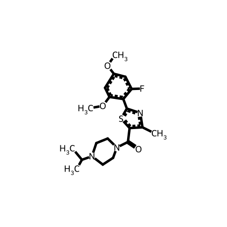 COc1cc(F)c(-c2nc(C)c(C(=O)N3CCN(C(C)C)CC3)s2)c(OC)c1